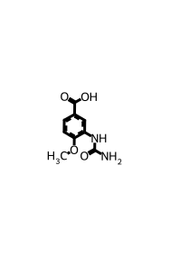 COc1ccc(C(=O)O)cc1NC(N)=O